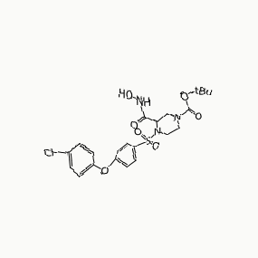 CC(C)(C)OC(=O)N1CCN(S(=O)(=O)c2ccc(Oc3ccc(Cl)cc3)cc2)C(C(=O)NO)C1